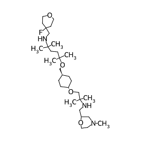 CN1CCOC(CNC(C)(C)CO[C@H]2CC[C@H](COC(C)(C)CCC(C)(C)NCC3(F)CCOCC3)CC2)C1